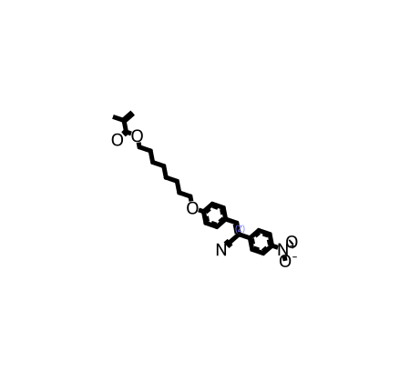 C=C(C)C(=O)OCCCCCCCCOc1ccc(/C=C(\C#N)c2ccc([N+](=O)[O-])cc2)cc1